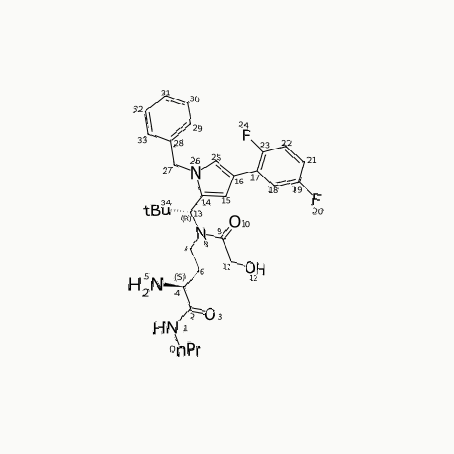 CCCNC(=O)[C@@H](N)CCN(C(=O)CO)[C@@H](c1cc(-c2cc(F)ccc2F)cn1Cc1ccccc1)C(C)(C)C